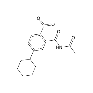 CC(=O)NC(=O)c1cc(C2CCCCC2)ccc1I(=O)=O